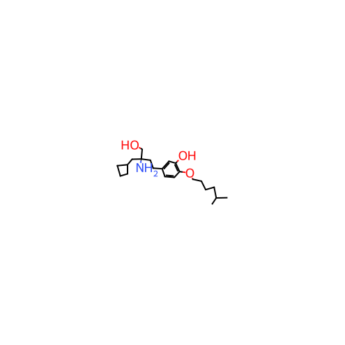 CC(C)CCCCOc1ccc(CC[C@@](N)(CO)CC2CCC2)cc1O